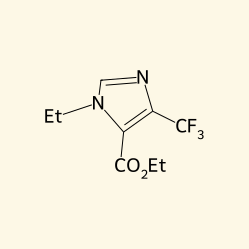 CCOC(=O)c1c(C(F)(F)F)ncn1CC